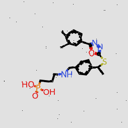 Cc1ccc(-c2nnc(SC(C)c3ccc(CNCCCP(=O)(O)O)cc3)o2)cc1C